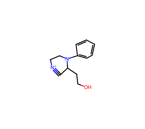 OCCC1C#[N+]CCN1c1ccccc1